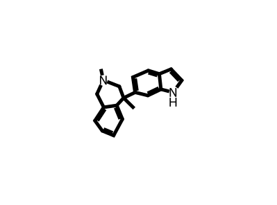 CN1Cc2ccccc2C(C)(c2ccc3cc[nH]c3c2)C1